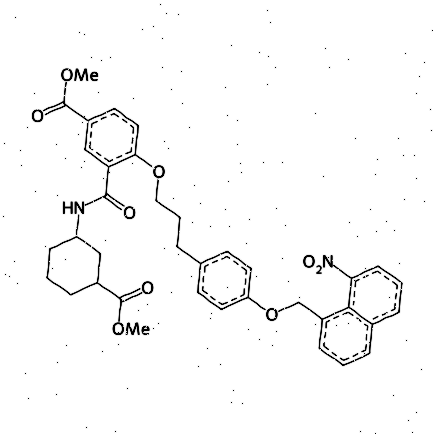 COC(=O)c1ccc(OCCCc2ccc(OCc3cccc4cccc([N+](=O)[O-])c34)cc2)c(C(=O)NC2CCCC(C(=O)OC)C2)c1